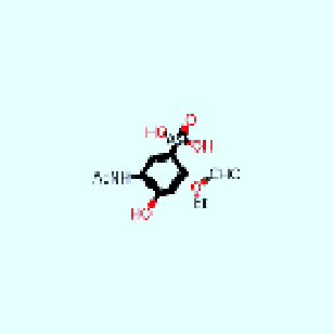 CC(=O)Nc1cc([As](=O)(O)O)ccc1O.CCOC=O